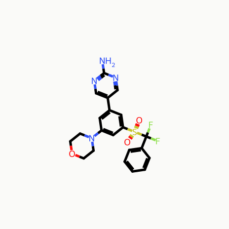 Nc1ncc(-c2cc(N3CCOCC3)cc(S(=O)(=O)C(F)(F)c3ccccc3)c2)cn1